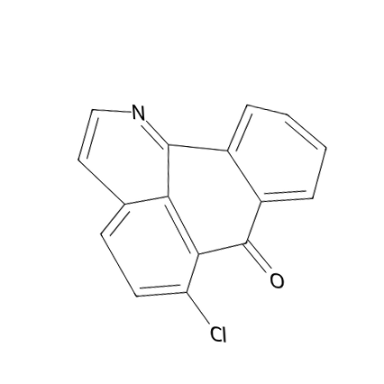 O=C1c2ccccc2-c2nccc3ccc(Cl)c1c23